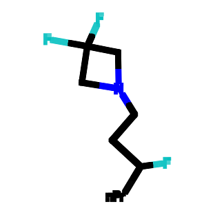 CCCC(F)CCN1CC(F)(F)C1